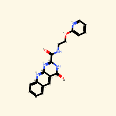 O=C(NCCOc1ccccn1)c1nc2nc3ccccc3cc2c(=O)[nH]1